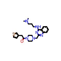 CN(C)CCCNc1nc(CN2CCN(C(=O)Cc3ccsc3)CC2)nc2ccccc12